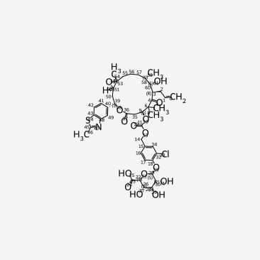 C=CC[C@H]1C(=O)C(C)(C)[C@@H](OC(=O)OCc2ccc(O[C@@H]3O[C@H](C(=O)O)[C@@H](O)[C@H](O)[C@H]3O)c(Cl)c2)CC(=O)O[C@H](c2ccc3sc(C)nc3c2)C[C@@H]2O[C@]2(C)CCC[C@H](C)[C@@H]1O